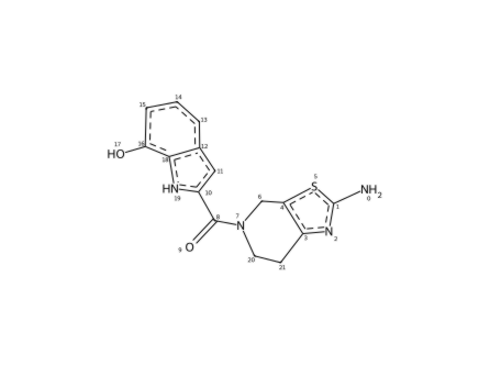 Nc1nc2c(s1)CN(C(=O)c1cc3cccc(O)c3[nH]1)CC2